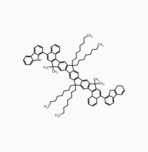 CCCCCCCCC1(CCCCCCCC)c2cc3c(cc2-c2cc4c(cc21)-c1cc2c(cc1C4(CCCCCCCC)CCCCCCCC)-c1c(cc(-c4cccc5c4[nH]c4ccccc45)c4ccccc14)C2(C)C)C(C)(C)C1=C3C2C=CC=CC2C(c2cccc3c4c(sc23)CCC=C4)=C1